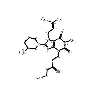 CCCC(=N)CCn1c(=O)n(C)c(=O)c2c1nc(N1CCCC(N)C1)n2CC=C(C)C